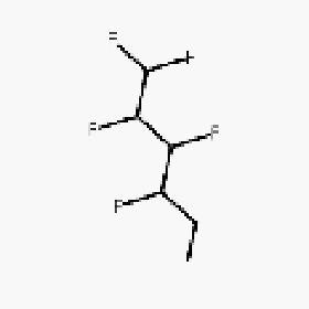 FC(F)C(F)C(F)C(F)CI